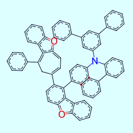 C1=C(c2ccc3oc4ccccc4c3c2-c2ccc(N(c3cc(-c4ccccc4)cc(-c4ccccc4)c3)c3ccccc3-c3ccccc3)cc2)CC(c2ccccc2)=c2c(oc3ccccc23)=C1